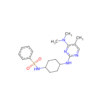 Cc1cnc(NC2CCC(NS(=O)(=O)c3ccccc3)CC2)nc1N(C)C